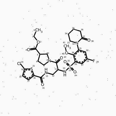 CCOC(=O)C1CCN(C(=O)C(CNC(=O)c2ccc(Cl)s2)NS(=O)(=O)c2cc(F)cc(N3CCCCC3=O)c2OC)C1